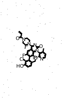 C=CC(=O)N1CCN(c2nc(=O)n(-c3c(C)ccnc3C(C)C)c3c4c(c(F)cc23)-c2c(ccc(O)c2Cl)CO4)[C@@H](C)C1